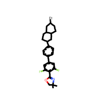 CCC1CCC2CC(c3ccc(-c4cc(F)c(C5=NC(C)(C)CO5)c(F)c4)cc3)CCC2C1